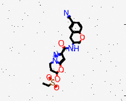 CCS(=O)(=O)OC1CCn2nc(C(=O)NC3COc4ccc(C#N)cc4C3)cc2O1